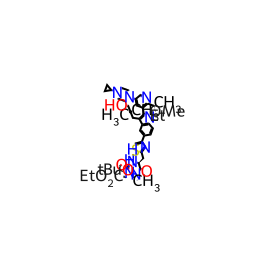 CCOC(=O)CNN(C)C(=O)[C@H](Cc1nc(-c2ccc3c(c2)c(CC(C)(C)CO)c(-c2cc(N4CCN(C5CC5)CC4)cnc2[C@H](C)OC)n3CC)cs1)NC(=O)OC(C)(C)C